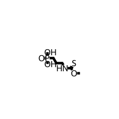 COC(=S)NCCCP(=O)(O)O